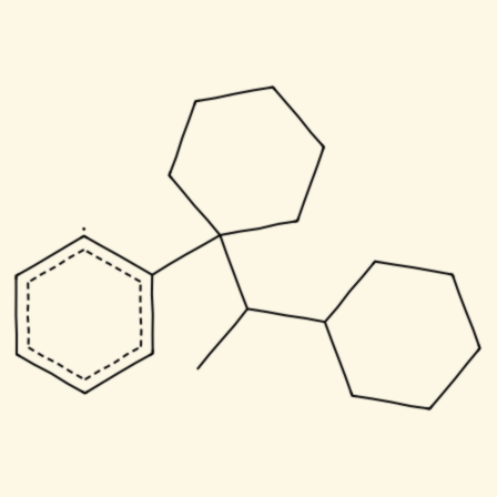 CC(C1CCCCC1)C1(c2[c]cccc2)CCCCC1